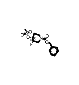 CS(=O)(=O)O[C@@H]1CCN(C(=O)OCc2ccccc2)C[C@@H]1F